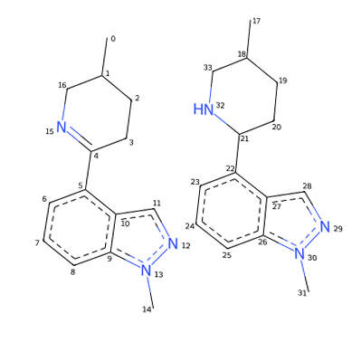 CC1CCC(c2cccc3c2cnn3C)=NC1.CC1CCC(c2cccc3c2cnn3C)NC1